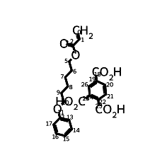 C=CC(=O)OCCCCCCOc1ccccc1.O=C(O)c1ccc(C(=O)O)c(C(=O)O)c1